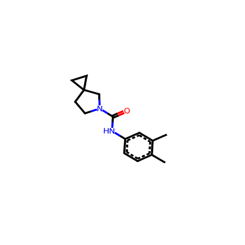 Cc1ccc(NC(=O)N2CCC3(CC3)C2)cc1C